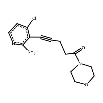 Nc1nccc(Cl)c1C#CCCC(=O)N1CCOCC1